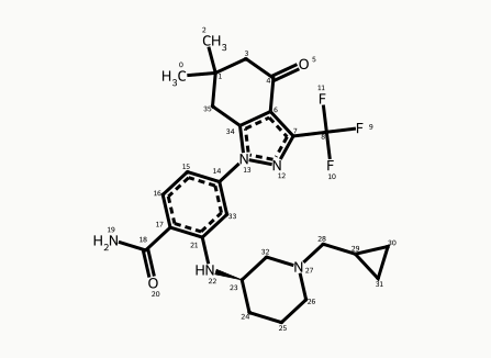 CC1(C)CC(=O)c2c(C(F)(F)F)nn(-c3ccc(C(N)=O)c(N[C@@H]4CCCN(CC5CC5)C4)c3)c2C1